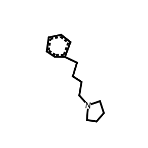 c1ccc(CCCCN2CCCC2)cc1